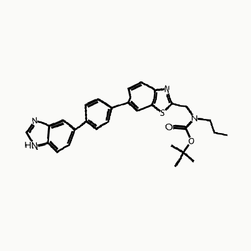 CCCN(Cc1nc2ccc(-c3ccc(-c4ccc5[nH]cnc5c4)cc3)cc2s1)C(=O)OC(C)(C)C